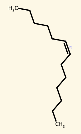 CCCCC/C=C\CCCCCC